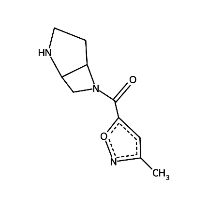 Cc1cc(C(=O)N2CC3NCCC32)on1